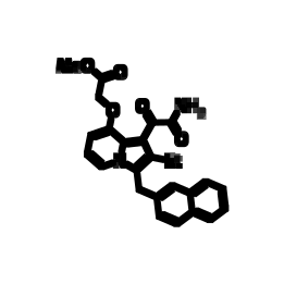 CCc1c(C(=O)C(N)=O)c2c(OCC(=O)OC)cccn2c1Cc1ccc2ccccc2c1